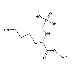 CCOC(=O)C(CCCCN)NCP(=O)(O)O